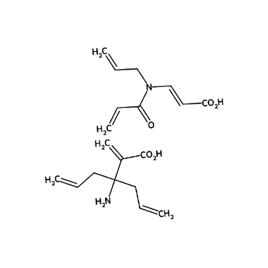 C=CCC(N)(CC=C)C(=C)C(=O)O.C=CCN(C=CC(=O)O)C(=O)C=C